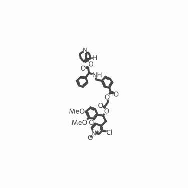 COc1ccc(C(Cc2c(Cl)c[n+]([O-])cc2Cl)OC(=O)COC(=O)c2cccc(CNC(C(=O)O[C@H]3CN4CCC3CC4)c3ccccc3)c2)cc1OC